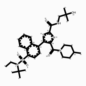 CCN(C(C)(C)C)S(=O)(=O)c1ccc(-c2sc(C(=O)NCC(C)(C)O)nc2C(=O)N2CCC(C)CC2)c2ccccc12